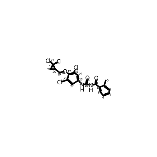 Cc1ccccc1C(=O)NC(=O)Nc1cc(Cl)c(OCC2CC2(Cl)Cl)c(Cl)c1